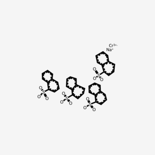 O=S(=O)([O-])c1cccc2ccccc12.O=S(=O)([O-])c1cccc2ccccc12.O=S(=O)([O-])c1cccc2ccccc12.O=S(=O)([O-])c1cccc2ccccc12.[Cr+3].[Na+]